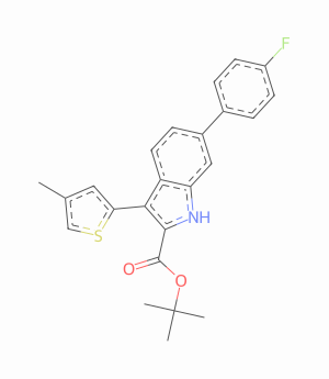 Cc1csc(-c2c(C(=O)OC(C)(C)C)[nH]c3cc(-c4ccc(F)cc4)ccc23)c1